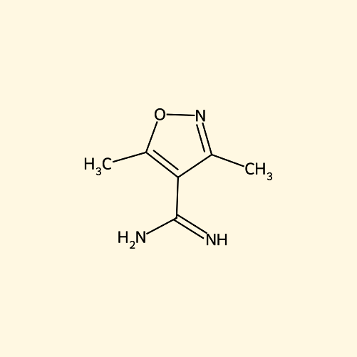 Cc1noc(C)c1C(=N)N